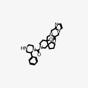 O=C1Cn2ccnc2CN1CC1(O)CCN(C(=O)N2CCNCC2c2ccccc2)CC12CCCC2